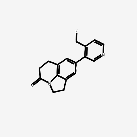 FCc1ccncc1-c1cc2c3c(c1)CCN3C(=S)CC2